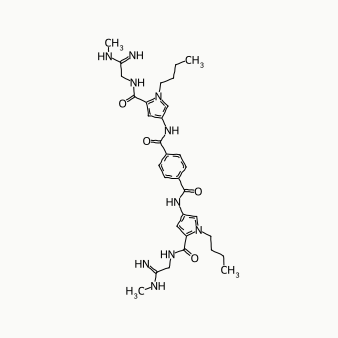 CCCCn1cc(NC(=O)c2ccc(C(=O)Nc3cc(C(=O)NCC(=N)NC)n(CCCC)c3)cc2)cc1C(=O)NCC(=N)NC